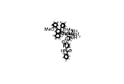 COc1ccccc1-c1cc2ccccc2c(COC[C@H]2O[C@@H](n3ccc(NC(=O)c4ccccc4)nc3=O)C[C@]2(O)P(OC)N(C)C)c1-c1ccccc1OC